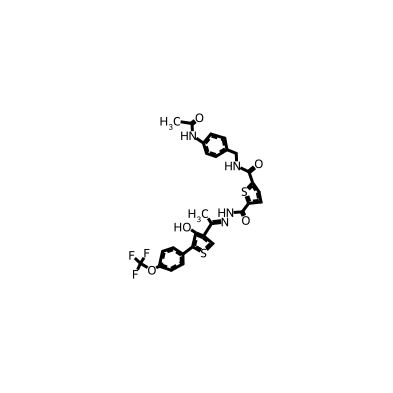 CC(=O)Nc1ccc(CNC(=O)c2ccc(C(=O)N/N=C(\C)c3csc(-c4ccc(OC(F)(F)F)cc4)c3O)s2)cc1